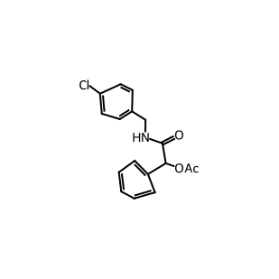 CC(=O)OC(C(=O)NCc1ccc(Cl)cc1)c1ccccc1